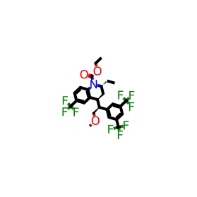 CCOC(=O)N1c2ccc(C(F)(F)F)cc2[C@H]([C@H](COC)c2cc(C(F)(F)F)cc(C(F)(F)F)c2)C[C@H]1CC